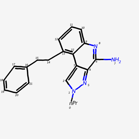 CCCn1cc2c(n1)c(N)nc1cccc(CCc3ccccc3)c12